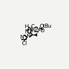 CC1CN(C(=O)OC(C)(C)C)CCN1c1ncnc2c1c(C1CC1)cn2-c1cncc(Cl)c1